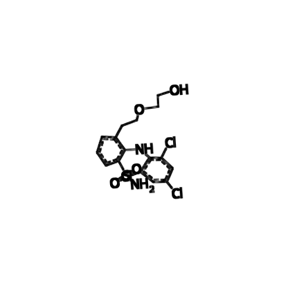 NS(=O)(=O)c1cccc(CCOCCO)c1Nc1c(Cl)cc(Cl)cc1Cl